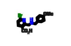 COc1ccc(CNCc2nc(Br)ccc2C(=O)O)cc1